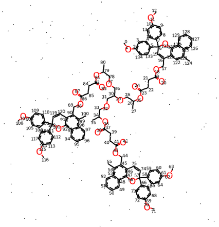 COc1ccc(C2(c3ccc(OC)cc3)C=C(COC(=O)CCC(=O)OC(C)COC(COCC(C)OC(=O)CCC(=O)OCc3c4c(c5ccccc5c3C)OC(c3ccc(OC)cc3)(c3ccc(OC)cc3)C=C4)COCC(C)OC(=O)CCC(=O)OCc3c4c(c5ccccc5c3C)OC(c3ccc(OC)cc3)(c3ccc(OC)cc3)C=C4)c3cc(C)c4ccccc4c3O2)cc1